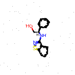 OC[C@H](Nc1nsc2ccccc12)c1ccccc1